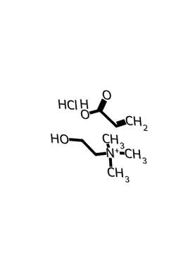 C=CC(=O)O.C[N+](C)(C)CCO.Cl